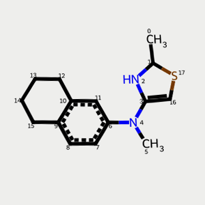 CC1NC(N(C)c2ccc3c(c2)CCCC3)=CS1